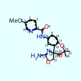 COc1ccc(C(=O)Nc2ccc3c(c2)C2(COC(N)=N2)C2(COC2)C(C)(C)O3)nc1